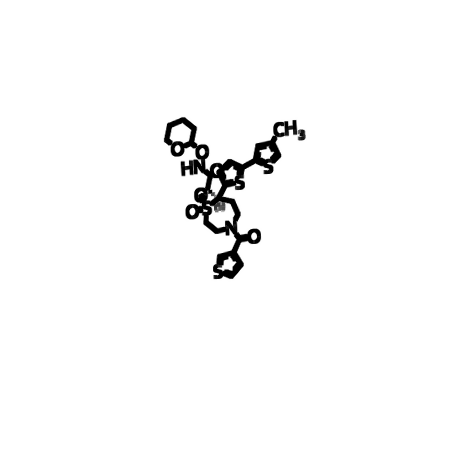 Cc1csc(-c2ccc([C@@]3(CC(=O)NOC4CCCCO4)CCN(C(=O)c4ccsc4)CCS3(=O)=O)s2)c1